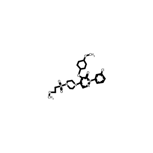 COCCS(=O)(=O)N1CCN(c2cnn(-c3cccc(Cl)c3)c(=O)c2OC2CCC(OC)CC2)CC1